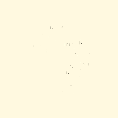 Cc1cc(Nc2cc(C3CC3)[nH]n2)nc(NCc2cc(-c3ccccc3Br)no2)n1